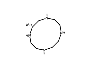 C1CNCCNCCNCCN1.[Mn]